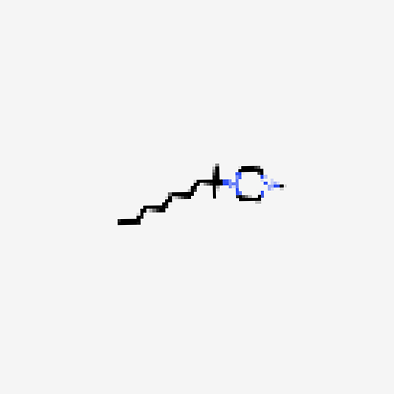 CCCCCCCC(C)(C)N1CCN(C)CC1